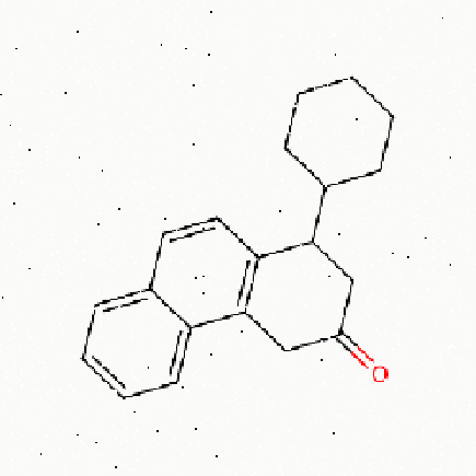 O=C1Cc2c(ccc3ccccc23)C(C2CCCCC2)C1